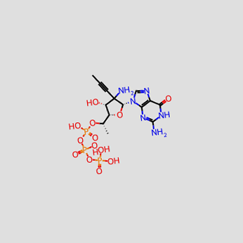 CC#CC1(N)[C@@H](O)[C@@H]([C@H](C)OP(=O)(O)OP(=O)(O)OP(=O)(O)O)O[C@H]1n1cnc2c(=O)[nH]c(N)nc21